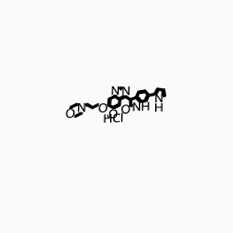 COc1cc2c(C3C(=O)Nc4cc(-c5ccc[nH]5)ccc43)ncnc2cc1OCCCN1CCOCC1.Cl